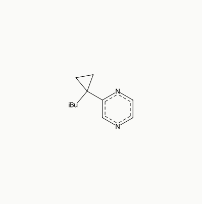 CCC(C)C1(c2cnccn2)CC1